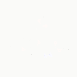 COC(=O)CCC(Oc1cc(OCc2ccsc2)ccc1-c1cc(C(=O)OC)n(C)n1)c1ccccc1C